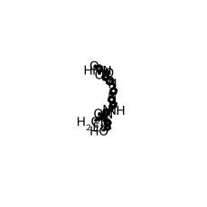 C=CCn1c(=O)c2cnc(Nc3ccc4c(c3)CCN(C3CCC(CN5CCc6ccc7c(C8CCC(=O)NC8=O)noc7c6CC5)CC3)C4)nc2n1-c1ccc2c(n1)[C@@](O)(CC)CC2